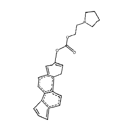 O=C(OCCN1CCCC1)OC1=CCc2c(ccc3c4c(ccc23)=CC=C4)=C1